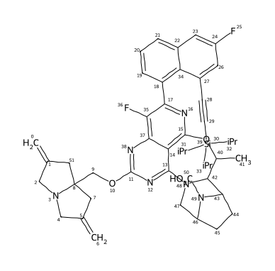 C=C1CN2CC(=C)CC2(COc2nc3c4c(nc(-c5cccc6cc(F)cc(C#C[Si](C(C)C)(C(C)C)C(C)C)c56)c(F)c4n2)OC(C)C2C4CCC(CN32)N4C(=O)O)C1